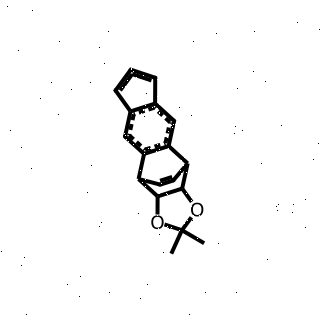 CC1(C)OC2C3C=CC(c4cc5c(cc43)C=C=C5)C2O1